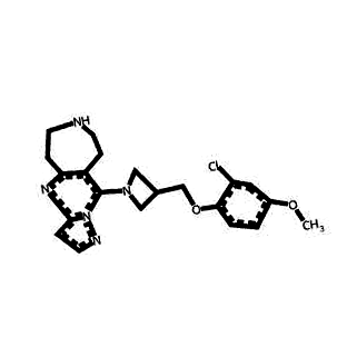 COc1ccc(OCC2CN(c3c4c(nc5ccnn35)CCNCC4)C2)c(Cl)c1